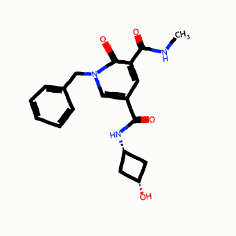 CNC(=O)c1cc(C(=O)N[C@H]2C[C@@H](O)C2)cn(Cc2ccccc2)c1=O